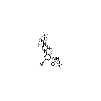 CC(C)(C)OC(=O)Nc1cc(C#N)cc(N2C[C@H]3C[C@@H]2CN3C(=O)OC(C)(C)C)c1Cl